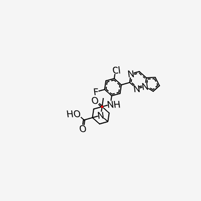 CC1CC2CC(C(=O)O)(C1)N2C(=O)Nc1cc(-c2ncc3cccn3n2)c(Cl)cc1F